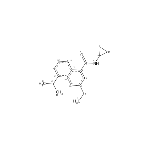 CCc1cc(C(=O)NC2CC2)c2nccc(C(C)C)c2c1